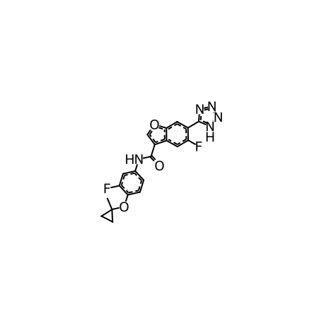 CC1(Oc2ccc(NC(=O)c3coc4cc(-c5nnn[nH]5)c(F)cc34)cc2F)CC1